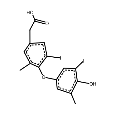 Cc1cc(Oc2c(I)cc(CC(=O)O)cc2I)cc(I)c1O